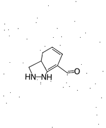 O=[C]C1=C2NNCC2CC=C1